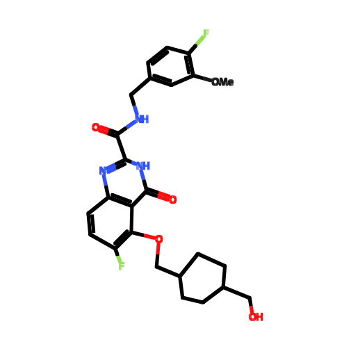 COc1cc(CNC(=O)c2nc3ccc(F)c(OCC4CCC(CO)CC4)c3c(=O)[nH]2)ccc1F